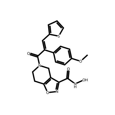 COc1ccc(C(=Cc2cccs2)C(=O)N2CCc3onc(C(=O)NO)c3C2)cc1